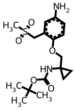 CC(C)(C)OC(=O)NC1(COc2ccc(N)cc2CS(C)(=O)=O)CC1